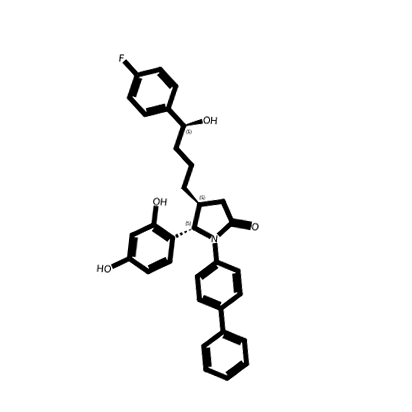 O=C1C[C@H](CCC[C@H](O)c2ccc(F)cc2)[C@@H](c2ccc(O)cc2O)N1c1ccc(-c2ccccc2)cc1